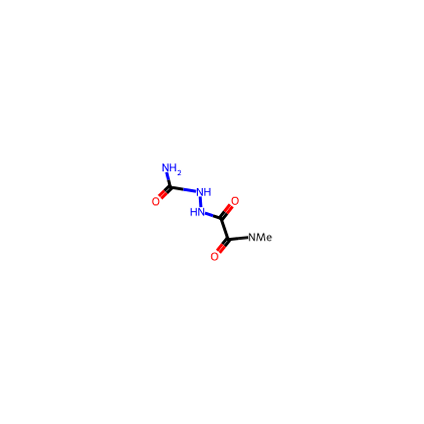 CNC(=O)C(=O)NNC(N)=O